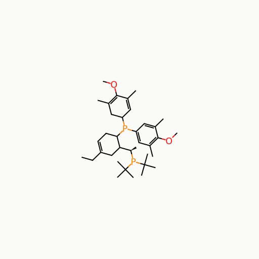 CCC1=CCC(P(c2cc(C)c(OC)c(C)c2)C2C=C(C)C(OC)=C(C)C2)C([C@@H](C)P(C(C)(C)C)C(C)(C)C)C1